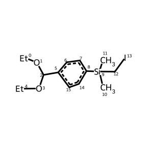 CCOC(OCC)c1ccc([Si](C)(C)CI)cc1